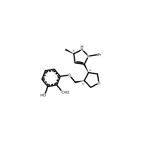 CC(C)N1N[C@H](C)C=C1[C@H]1COC[C@H]1COc1cccc(O)c1C=O